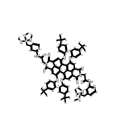 CO[Si](Cc1ccnc(NC(=O)CN2C(=O)c3cc(Oc4ccc(C(C)(C)C)cc4)c4c5c(Oc6ccc(C(C)(C)C)cc6)cc6c7c(cc(Oc8ccc(C(C)(C)C)cc8)c(c8c(Oc9ccc(C(C)(C)C)cc9)cc(c3c48)C2=O)c75)C(=O)N(CC(=O)Nc2cc(C[Si](OC)(OC)OC)ccn2)C6=O)c1)(OC)OC